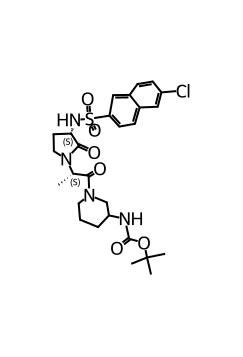 C[C@@H](C(=O)N1CCCC(NC(=O)OC(C)(C)C)C1)N1CC[C@H](NS(=O)(=O)c2ccc3cc(Cl)ccc3c2)C1=O